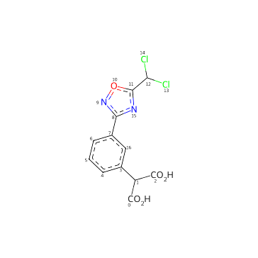 O=C(O)C(C(=O)O)c1cccc(-c2noc(C(Cl)Cl)n2)c1